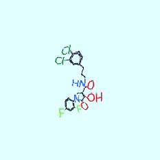 O=C(NCCCc1ccc(Cl)c(Cl)c1)C1=C(O)C(=O)N(c2ccc(F)cc2F)C1